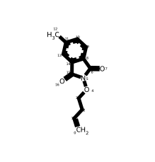 C=CCCON1C(=O)c2ccc(C)cc2C1=O